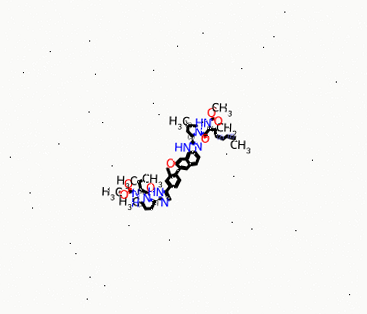 C=C(/C=C\C=C/C)[C@@H](NC(=O)OC)C(=O)N1C[C@@H](C)C[C@H]1c1nc2ccc3cc4c(cc3c2[nH]1)OCc1cc(-c2cnc([C@@H]3CC[C@H](C)N3C(=O)[C@@H](NC(=O)OC)C(C)C)[nH]2)ccc1-4